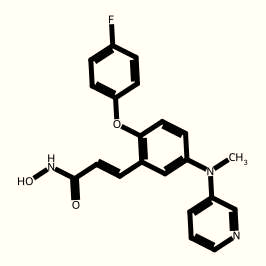 CN(c1cccnc1)c1ccc(Oc2ccc(F)cc2)c(/C=C/C(=O)NO)c1